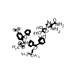 CN(C)CCOC(c1ccccc1)c1ccccc1.CS(=O)(=O)Nc1ccc([N+](=O)[O-])cc1Oc1ccccc1.NC(=O)c1ncn([C@@H]2O[C@H](CO)[C@@H](O)[C@H]2O)c1N